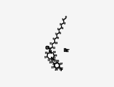 CCCCCCCCCCCCCC(=O)N1CCC[N+](C)(Cc2ccc(F)cc2)CC1.[Br-]